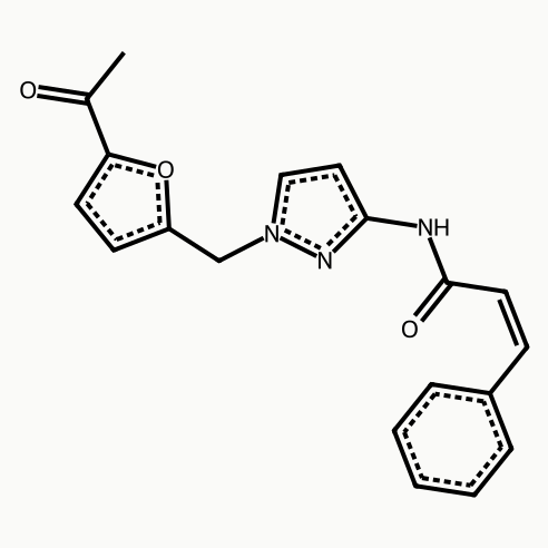 CC(=O)c1ccc(Cn2ccc(NC(=O)/C=C\c3ccccc3)n2)o1